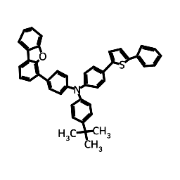 CC(C)(C)c1ccc(N(c2ccc(-c3ccc(-c4ccccc4)s3)cc2)c2ccc(-c3cccc4c3oc3ccccc34)cc2)cc1